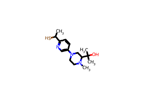 CC(S)c1ccc(N2CCN(C)C(C(C)(C)O)C2)cn1